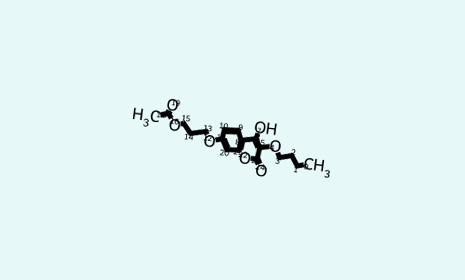 CCCCOc1c(O)c2ccc(OCCCOC(C)=O)cc2oc1=O